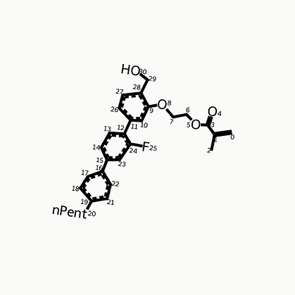 C=C(C)C(=O)OCCOc1cc(-c2ccc(-c3ccc(CCCCC)cc3)cc2F)ccc1CO